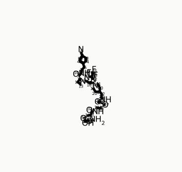 N#Cc1ccc(CCNC(=O)[C@@H]2CCN2c2cc(N3CCC(CCNS(=O)(=O)CCNC(=O)[C@@H](N)CS(=O)(=O)O)CC3)nc(C(F)(F)F)n2)cc1